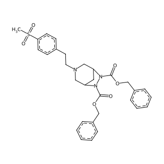 CS(=O)(=O)c1ccc(CCN2CC3CC(C2)N(C(=O)OCc2ccccc2)N3C(=O)OCc2ccccc2)cc1